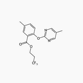 Cc1cnc(Oc2ccc(C)cc2C(=O)OCCC(F)(F)F)nc1